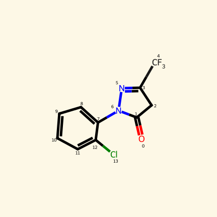 O=C1CC(C(F)(F)F)=NN1c1ccccc1Cl